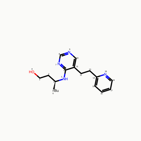 CCCC[C@@H](CCO)Nc1ncncc1CCc1ccccn1